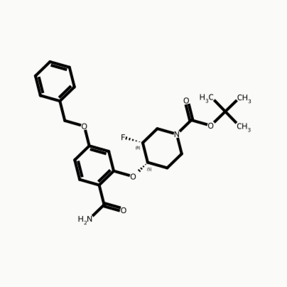 CC(C)(C)OC(=O)N1CC[C@H](Oc2cc(OCc3ccccc3)ccc2C(N)=O)[C@H](F)C1